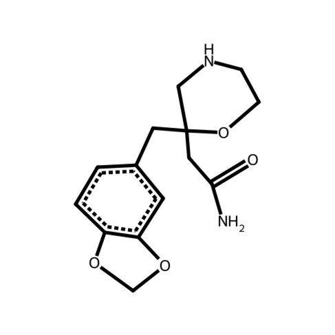 NC(=O)CC1(Cc2ccc3c(c2)OCO3)CNCCO1